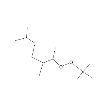 CC(C)CCC(C)C(I)OOC(C)(C)C